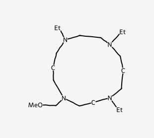 CCN1CCCN(CC)CCN(COC)CCCN(CC)CC1